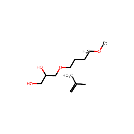 C=C(C)C(=O)O.CCO[SiH2]CCCOCC(O)CO